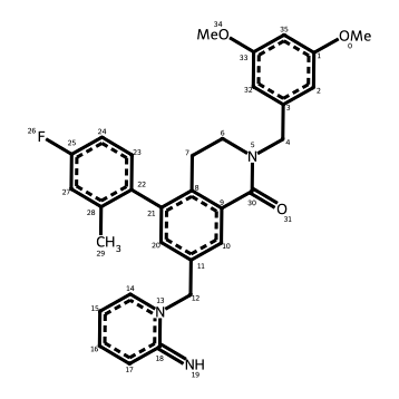 COc1cc(CN2CCc3c(cc(Cn4ccccc4=N)cc3-c3ccc(F)cc3C)C2=O)cc(OC)c1